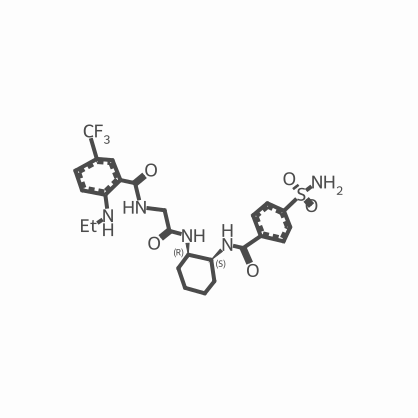 CCNc1ccc(C(F)(F)F)cc1C(=O)NCC(=O)N[C@@H]1CCCC[C@@H]1NC(=O)c1ccc(S(N)(=O)=O)cc1